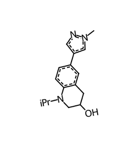 CC(C)N1CC(O)Cc2cc(-c3cnn(C)c3)ccc21